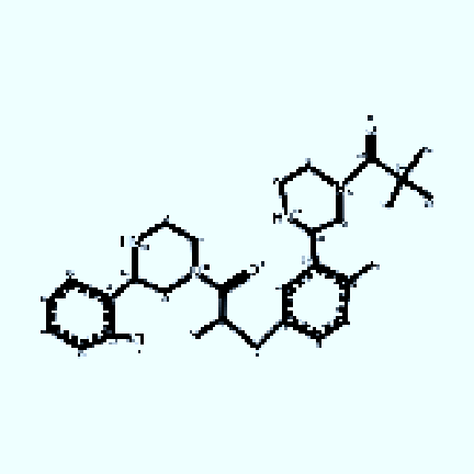 Cc1ccc(CC(C)C(=O)N2CCNC(c3ccccc3Cl)C2)cc1C1CN(C(=O)C(C)(C)C)CCN1